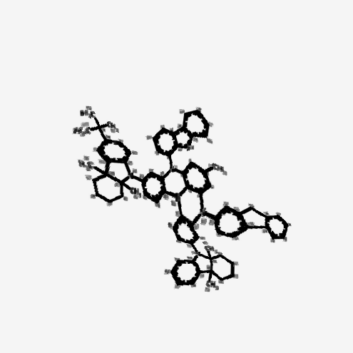 Cc1cc2c3c(c1)N(c1cccc4c1sc1ccccc14)c1cc(N4c5ccc(C(C)(C)C)cc5C5(C)CCCCC45C)ccc1B3c1ccc(N3c4ccccc4C4(C)CCCCC34C)cc1N2c1ccc2c(c1)Cc1ccccc1-2